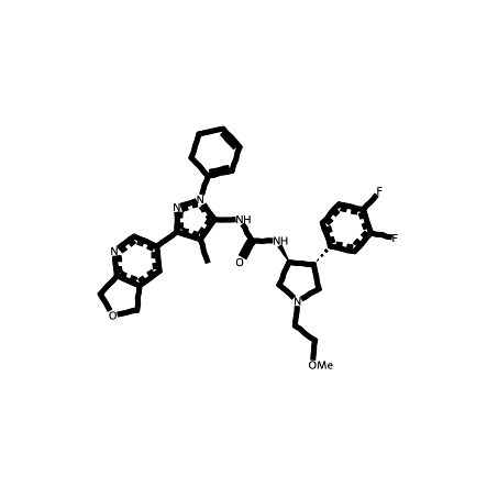 COCCN1C[C@@H](NC(=O)Nc2c(C)c(-c3cnc4c(c3)COC4)nn2C2=CC=CCC2)[C@H](c2ccc(F)c(F)c2)C1